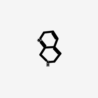 C1=CC2=CCNCC2=[N+]C1